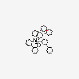 c1ccc(-c2cccc(N3c4ccccc4-c4ccccc4O[Si]3(c3cccc(-c4ccccc4)c3)c3cccc(-c4ccccc4)c3)c2)cc1